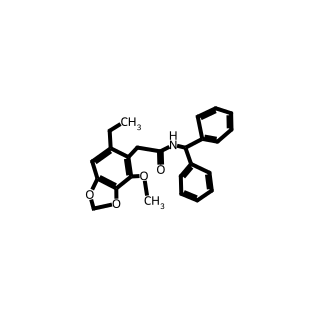 CCc1cc2c(c(OC)c1CC(=O)NC(c1ccccc1)c1ccccc1)OCO2